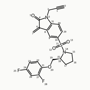 C#CCN1C(=O)C(=C)c2cc(S(=O)(=O)N3CCC[C@H]3COc3ccc(F)cc3F)ccc21